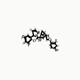 O=C([C@H]1C[C@@H](COc2ccc(Br)cc2F)C2CC1C2)N1N=CCC1c1cc(F)cc(F)c1